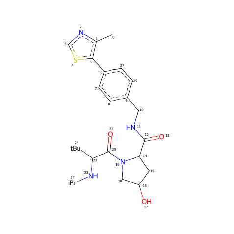 Cc1ncsc1-c1ccc(CNC(=O)C2CC(O)CN2C(=O)C(NC(C)C)C(C)(C)C)cc1